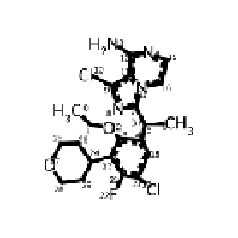 CCOc1c([C@H](C)c2nc(Cl)c3c(N)nccn23)cc(Cl)c(F)c1C1CCOCC1